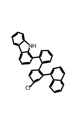 Clc1ccc(-c2ccccc2-c2cccc3c2[nH]c2ccccc23)c(-c2cccc3ccccc23)c1